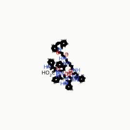 O=C(CCC(=O)N1Cc2ccccc2C#Cc2ccccc21)NCCCCCC(=O)N[C@H](Cc1c[nH]c2ccccc12)C(=O)N[C@H](Cc1c[nH]c2ccccc12)C(=O)N[C@H](Cc1c[nH]c2ccccc12)C(=O)N[C@H](Cc1c[nH]c2ccccc12)C(=O)N[C@H](Cc1c[nH]c2ccccc12)C(=O)O